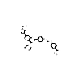 CC1CN(c2nc(-c3ccc(NC(=O)Nc4ccc(C(=O)N(C)C)cc4)c(F)c3)nc3cc(-c4cnn(C)c4)cnc23)CC(C)O1